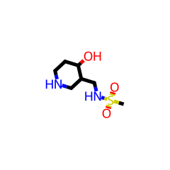 CS(=O)(=O)NCC1CNCCC1O